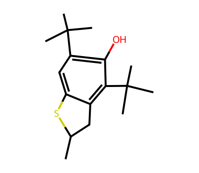 CC1Cc2c(cc(C(C)(C)C)c(O)c2C(C)(C)C)S1